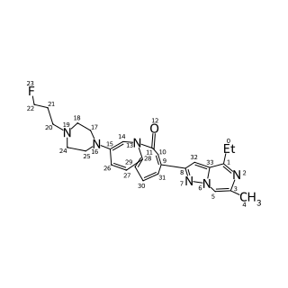 CCc1nc(C)cn2nc(C3=C\C(=O)N4C=C(N5CCN(CCCF)CC5)C=C\C4=C/C=C/3)cc12